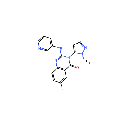 Cn1nccc1-n1c(Nc2cccnc2)nc2ccc(F)cc2c1=O